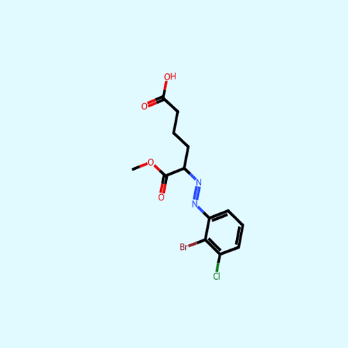 COC(=O)C(CCCC(=O)O)N=Nc1cccc(Cl)c1Br